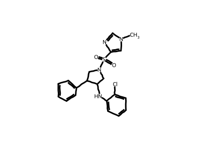 Cn1cnc(S(=O)(=O)N2CC(Nc3ccccc3Cl)C(c3ccccc3)C2)c1